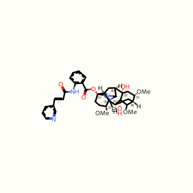 CCN1C[C@]2(OC(=O)c3ccccc3NC(=O)/C=C/c3cccnc3)CC[C@H](OC)[C@]34C1[C@@H](C[C@H]23)[C@@]1(O)C[C@H](OC)[C@H]2C[C@@H]4[C@]1(O)C2OC